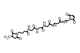 CC1CC(=O)N(CCCC(=O)NCC(=O)NCC(=O)NCC(=O)NCCC(=O)NCCN2C(=O)C=CC2=O)C1=O